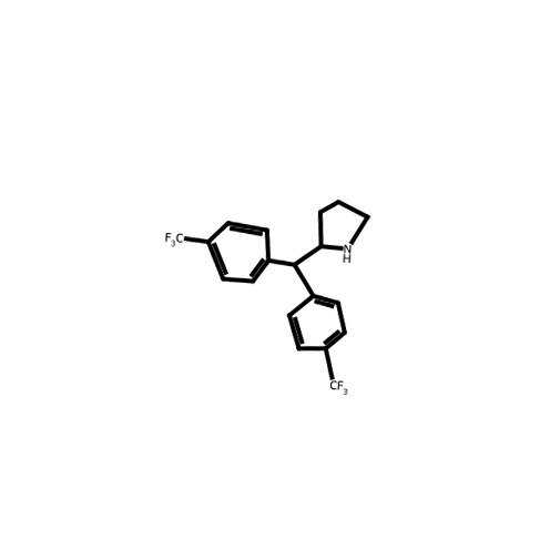 FC(F)(F)c1ccc(C(c2ccc(C(F)(F)F)cc2)C2CCCN2)cc1